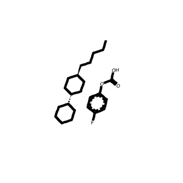 CCCCC[C@H]1CC[C@H](C2CCCCC2)CC1.O=C(O)Oc1ccc(F)cc1